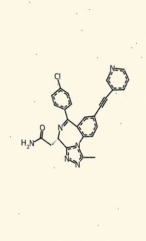 Cc1nnc2n1-c1ccc(C#Cc3cccnc3)cc1C(c1ccc(Cl)cc1)=N[C@H]2CC(N)=O